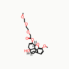 COCCOCCOCC(=O)OC1=CCC2(O)[C@@H]3CCC[C@@]24c2c(ccc(OC)c2O[C@@H]14)C3